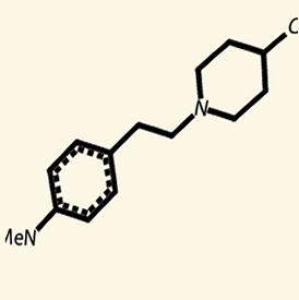 CNc1ccc(CCN2CCC(O)CC2)cc1